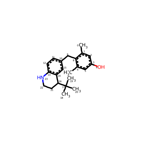 Cc1cc(O)cc(C)c1Cc1ccc2c(c1)C(C(C)(C)C)CCN2